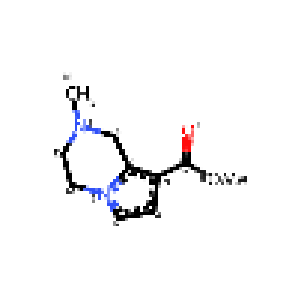 COC(=O)c1ccn2c1CN(C)CC2